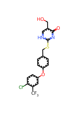 O=c1nc(SCc2ccc(Oc3ccc(Cl)c(C(F)(F)F)c3)cc2)[nH]cc1CO